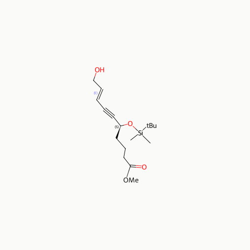 COC(=O)CCC[C@@H](C#C/C=C/CO)O[Si](C)(C)C(C)(C)C